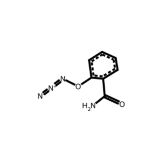 [N-]=[N+]=NOc1ccccc1C(N)=O